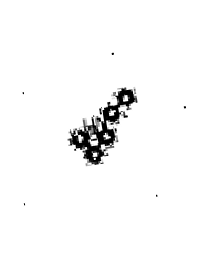 c1ccc(-c2ccc(Nc3cccc4c3Oc3ccccc3-c3ccccc3-4)cc2)cc1